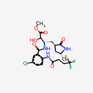 COC(=O)C(O)[C@H](C[C@@H]1C[C@@H](C)NC1=O)NC(=O)c1cc(Cl)ccc1NC(=O)CCC(F)(F)F